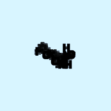 CC1CN(C(=O)Cc2cccc(F)c2)CC=C1c1cc(NC=O)nc2[nH]ccc12